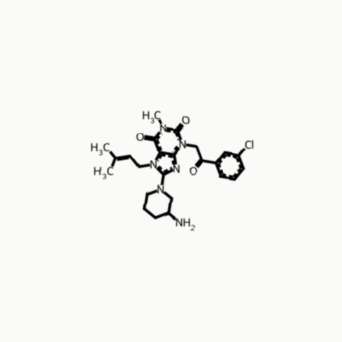 CC(C)=CCn1c(N2CCCC(N)C2)nc2c1c(=O)n(C)c(=O)n2CC(=O)c1cccc(Cl)c1